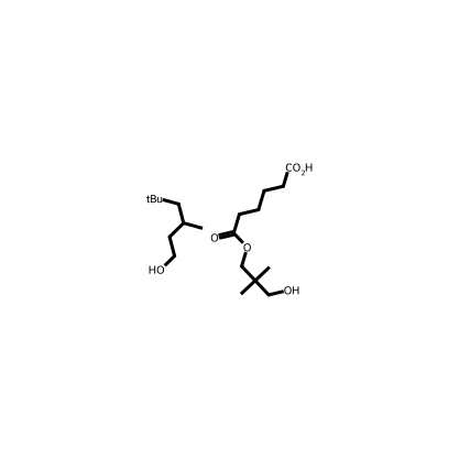 CC(C)(CO)COC(=O)CCCCC(=O)O.CC(CCO)CC(C)(C)C